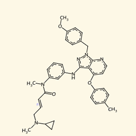 COc1ccc(Cn2nc(Nc3cccc(N(C)C(=O)/C=C/CN(C)C4CC4)c3)c3c(Oc4ccc(C)cc4)ccnc32)cc1